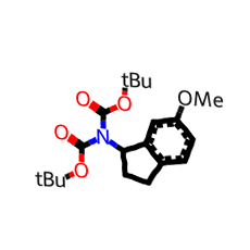 COc1ccc2c(c1)C(N(C(=O)OC(C)(C)C)C(=O)OC(C)(C)C)CC2